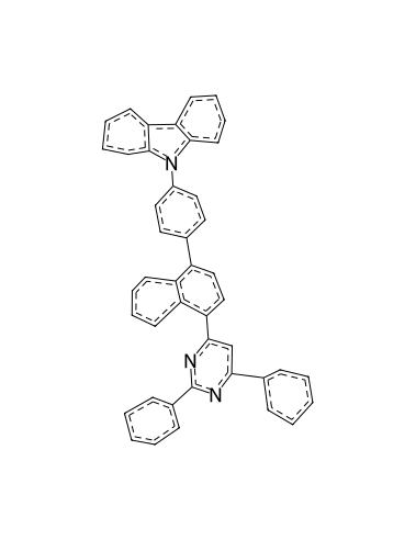 c1ccc(-c2cc(-c3ccc(-c4ccc(-n5c6ccccc6c6ccccc65)cc4)c4ccccc34)nc(-c3ccccc3)n2)cc1